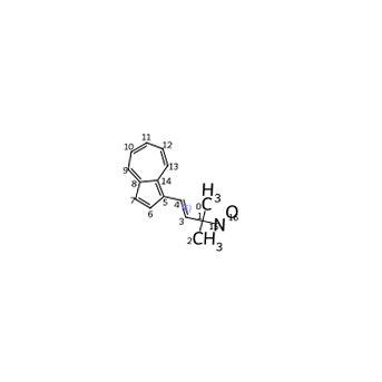 CC(C)(/C=C/c1ccc2cccccc1-2)N=O